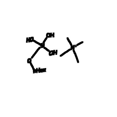 CCCCCCO[Si](O)(O)O.C[N+](C)(C)C